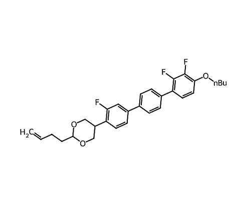 C=CCCC1OCC(c2ccc(-c3ccc(-c4ccc(OCCCC)c(F)c4F)cc3)cc2F)CO1